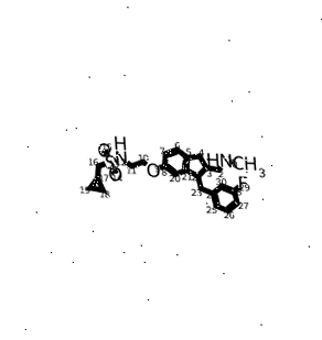 CNCC1Cc2ccc(OCCNS(=O)(=O)CC3CC3)cc2C1Cc1cccc(F)c1